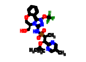 Cc1cnc([C@H](OC(C)C)[C@H](C)S(=O)(=O)NC2=NN(OC(F)(F)F)C3=C4C=CC=CC4OC[C@@H](CO)N23)nc1